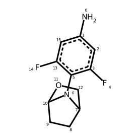 Nc1cc(F)c(N2C3CCC2OC3)c(F)c1